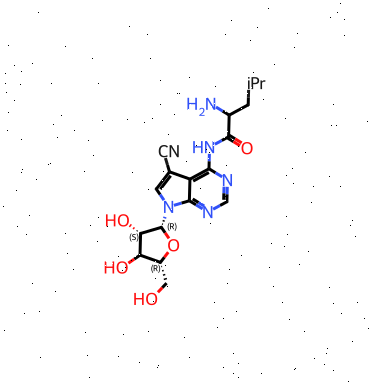 CC(C)CC(N)C(=O)Nc1ncnc2c1c(C#N)cn2[C@@H]1O[C@H](CO)C(O)[C@@H]1O